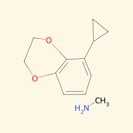 CN.c1cc2c(c(C3CC3)c1)OCCO2